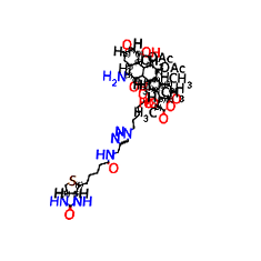 CC(=O)O[C@H]1C2C([C@@H](O)[C@@H](N)[C@H]3C[C@@H]4O[C@@H]4[C@H](O)[C@]23C)[C@@H]2[C@H](OC(=O)CCCCn3cc(CNC(=O)CCCC[C@@H]4SC[C@@H]5NC(=O)N[C@@H]54)nn3)[C@@H]3[C@H]([C@H](C)[C@H]4O[C@]45OC(=O)[C@@](C)(O)[C@]35C)[C@@]2(C)[C@H]1OC(C)=O